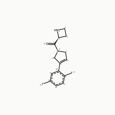 O=C([C@@H]1CCN1)N1CC=C(c2cc(F)ccc2F)C1